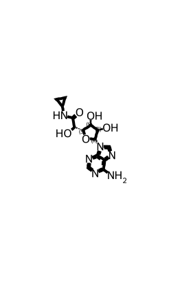 Nc1ncnc2c1ncn2[C@@H]1O[C@H](C(O)C(=O)NC2CC2)[C@@H](O)[C@H]1O